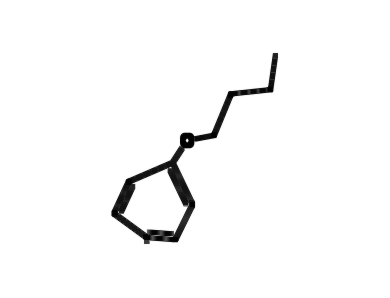 CCCCOc1cc[c]cc1